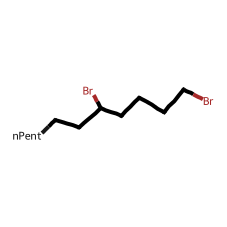 CCCCCCCC(Br)CCCCBr